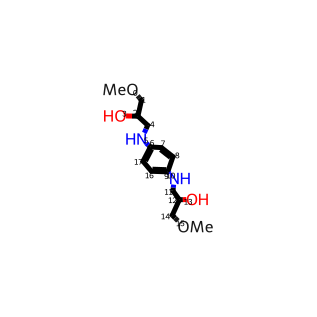 COCC(O)CNc1ccc(NCC(O)COC)cc1